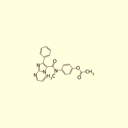 CC(=O)Oc1ccc(N(C)C(=O)c2c(-c3ccccc3)nc3ncccn23)cc1